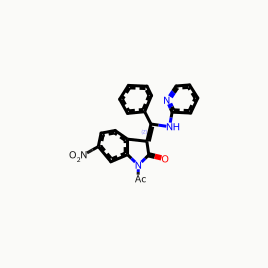 CC(=O)N1C(=O)/C(=C(\Nc2ccccn2)c2ccccc2)c2ccc([N+](=O)[O-])cc21